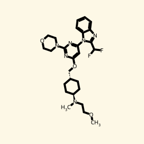 COCCN(C)[C@H]1CC[C@H](COc2cc(-n3c(C(F)F)nc4ccccc43)nc(N3CCOCC3)n2)CC1